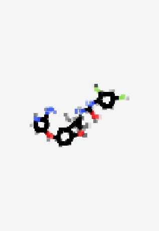 Nc1cc(Oc2ccc3c(c2)[C@H]2[C@H](NC(O)Nc4ccc(F)cc4F)[C@H]2O3)ccn1